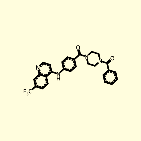 O=C(c1ccccc1)N1CCN(C(=O)c2ccc(Nc3ccnc4cc(C(F)(F)F)ccc34)cc2)CC1